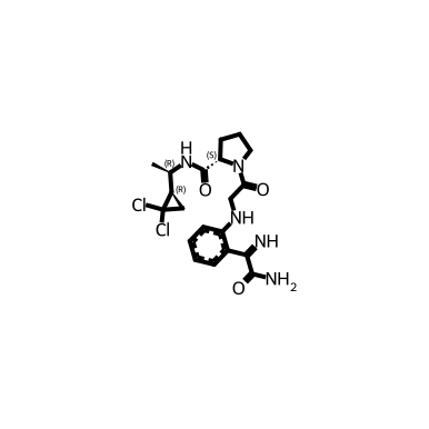 C[C@@H](NC(=O)[C@@H]1CCCN1C(=O)CNc1ccccc1C(=N)C(N)=O)[C@H]1CC1(Cl)Cl